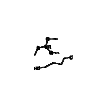 CO[SiH](OC)OC.OCCCCCl